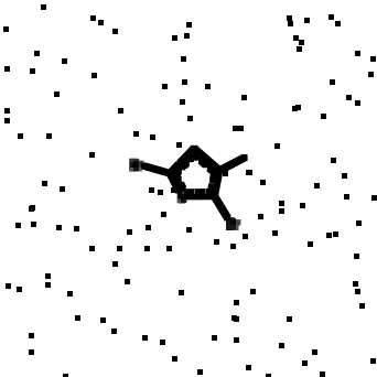 Cc1cc(Br)sc1Br